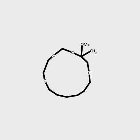 COC1(C)CCCCCCCCCCCCCC1